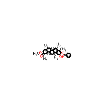 COC(=O)[C@]1(C)CC[C@]2(C)CC[C@]3(C)C4=CC(C)c5c(cc(O)c(OCc6ccccc6)c5C)[C@]4(C)CCC3(C)[C@@H]2C1